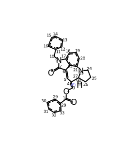 O=C(O/C=C1\C=C2C(=O)N(Cc3ccccc3)c3cccc(c32)N2CCC[C@@H]12)c1ccccc1